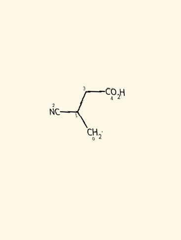 [CH2]C(C#N)CC(=O)O